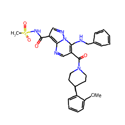 COc1ccccc1C1CCN(C(=O)c2cnc3c(C(=O)NS(C)(=O)=O)cnn3c2NCc2ccccc2)CC1